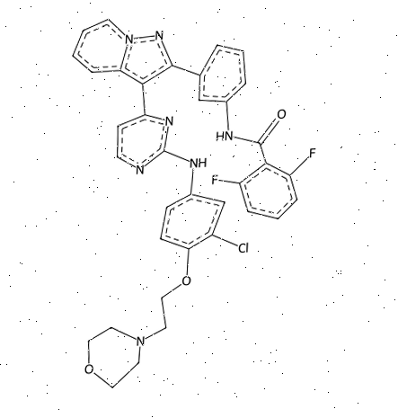 O=C(Nc1cccc(-c2nn3ccccc3c2-c2ccnc(Nc3ccc(OCCN4CCOCC4)c(Cl)c3)n2)c1)c1c(F)cccc1F